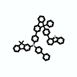 CC1(C)c2ccccc2-c2ccc(N(c3ccc(-c4ccccc4)cc3)c3ccc(-c4ccc5c(c4)C(c4ccccc4)(c4ccc(-c6cccc7c6sc6ccccc67)cc4)c4ccccc4-5)cc3)cc21